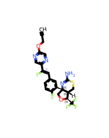 C#CCOc1cnc(/C(F)=C/c2ccc(F)c([C@]34CO[C@H](C(F)(F)F)[C@H]3CSC(N)=N4)c2)cn1